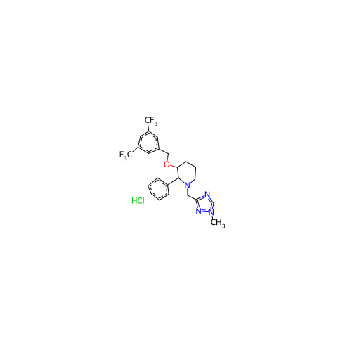 Cl.Cn1cnc(CN2CCCC(OCc3cc(C(F)(F)F)cc(C(F)(F)F)c3)C2c2ccccc2)n1